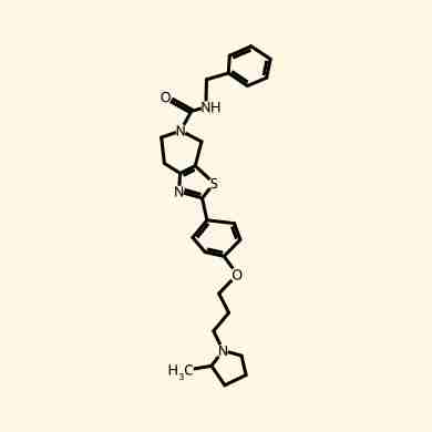 CC1CCCN1CCCOc1ccc(-c2nc3c(s2)CN(C(=O)NCc2ccccc2)CC3)cc1